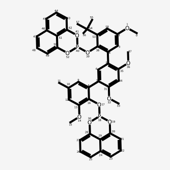 COc1cc(-c2cc(-c3cc(C)cc(OC)c3OP3Oc4cccc5cccc(c45)O3)c(OC)cc2OC)c(OP2Oc3cccc4cccc(c34)O2)c(C(C)(C)C)c1